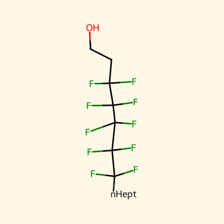 CCCCCCCC(F)(F)C(F)(F)C(F)(F)C(F)(F)C(F)(F)CCO